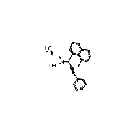 C=CCN(C=O)C(C#Cc1ccccc1)c1cccc2cccc(I)c12